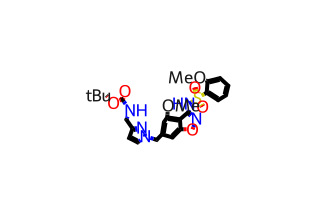 COc1ccccc1S(=O)(=O)Nc1noc2cc(Cn3ccc(CNC(=O)OC(C)(C)C)n3)cc(OC)c12